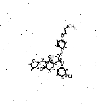 CCCOc1ccc(COC(=O)C2=C(C)N(C[C@H]3CCCO3)C(=O)C[C@H]2c2ccc(Cl)cc2)cc1